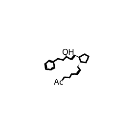 CC(=O)CCC/C=C\C[C@H]1CCC[C@@H]1/C=C/[C@@H](O)CCc1ccccc1